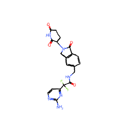 Nc1nccc(C(F)(F)C(=O)NCc2ccc3c(c2)CN(C2CCC(=O)NC2=O)C3=O)n1